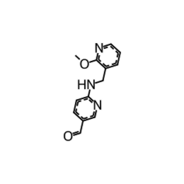 COc1ncccc1CNc1ccc(C=O)cn1